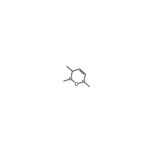 CC1C=CN(C)ON1C